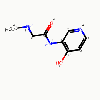 O=C(O)NCC(=O)Nc1cnccc1O